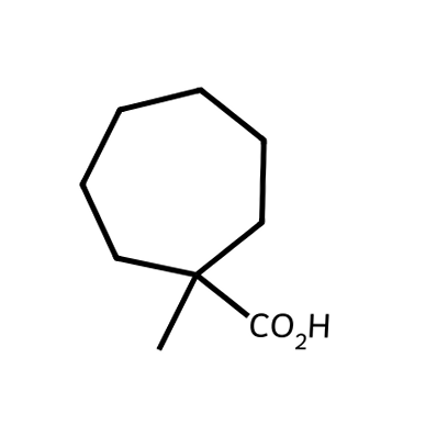 CC1(C(=O)O)CCCCCC1